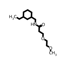 CCC1CCCC(CNC(=O)CCOCCOC)C1